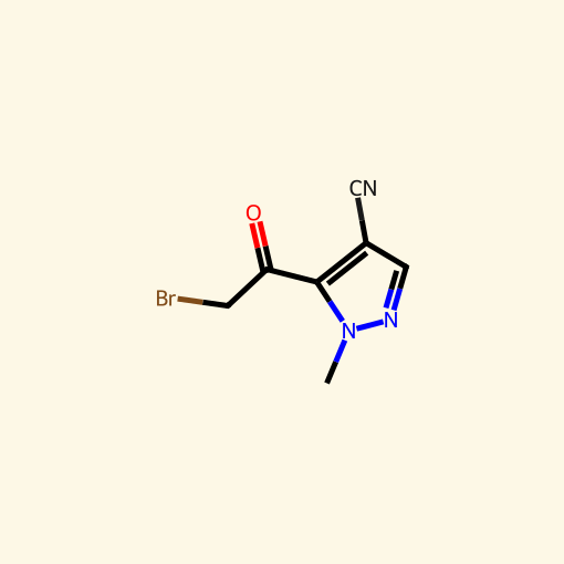 Cn1ncc(C#N)c1C(=O)CBr